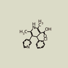 CC1=C(C(=O)O)C(c2ccccc2Cl)C(c2cccnc2)=C(C)N1